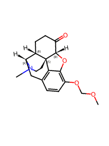 COCOc1ccc2c3c1O[C@H]1C(=O)CC[C@H]4[C@@H](C2)N(C)CC[C@]314